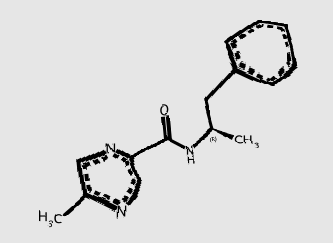 Cc1cnc(C(=O)N[C@H](C)Cc2ccccc2)cn1